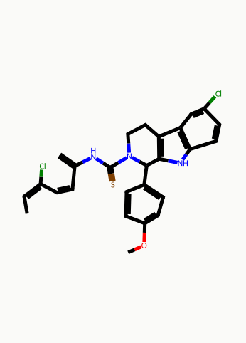 C=C(/C=C\C(Cl)=C/C)NC(=S)N1CCc2c([nH]c3ccc(Cl)cc23)C1c1ccc(OC)cc1